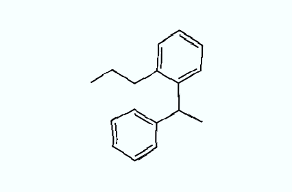 CCCc1ccccc1C(C)c1ccccc1